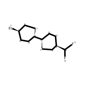 CC[C@H]1CC[C@H]([C@H]2CC[C@H](C(F)F)CC2)CC1